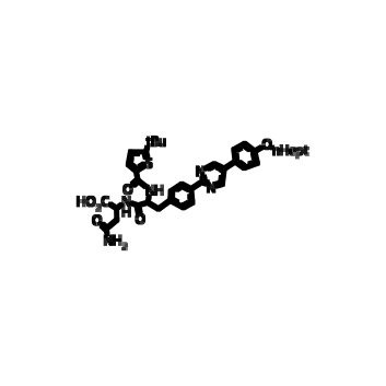 CCCCCCCOc1ccc(-c2cnc(-c3ccc(CC(NC(=O)c4ccc(C(C)(C)C)s4)C(=O)NC(CC(N)=O)C(=O)O)cc3)nc2)cc1